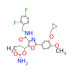 CCC(OC(N)=O)c1oc(-c2ccc(OC)c(OCC3CC3)c2)nc1C(=O)NCc1ccc(F)cc1F